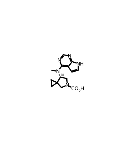 CN(c1ncnc2[nH]ccc12)[C@@H]1CN(C(=O)O)CC12CC2